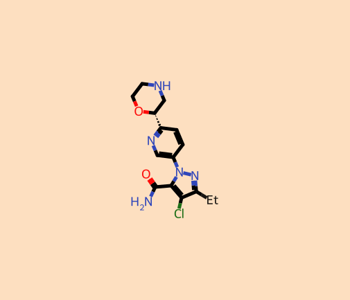 CCc1nn(-c2ccc([C@H]3CNCCO3)nc2)c(C(N)=O)c1Cl